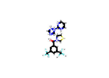 O=C(c1cc(C(F)(F)F)cc(C(F)(F)F)c1)N1CSC[C@H]1c1ncnn1-c1ncccn1